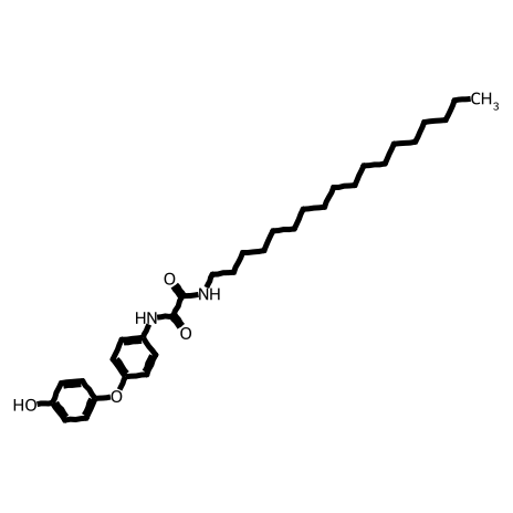 CCCCCCCCCCCCCCCCCCNC(=O)C(=O)Nc1ccc(Oc2ccc(O)cc2)cc1